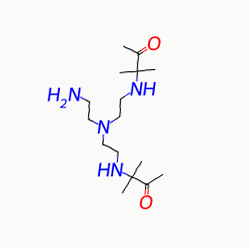 CC(=O)C(C)(C)NCCN(CCN)CCNC(C)(C)C(C)=O